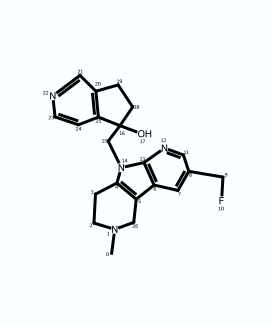 CN1CCc2c(c3cc(CF)cnc3n2CC2(O)CCc3cnccc32)C1